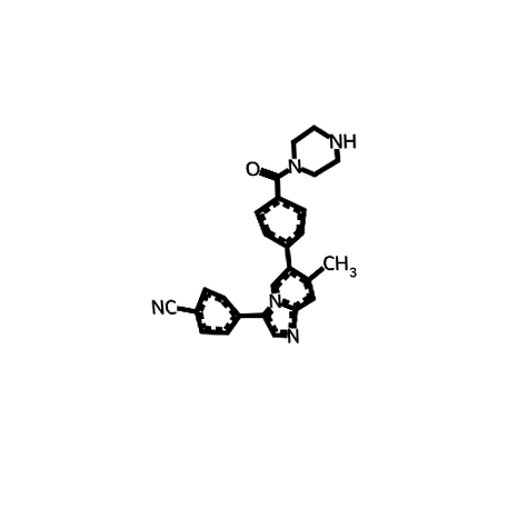 Cc1cc2ncc(-c3ccc(C#N)cc3)n2cc1-c1ccc(C(=O)N2CCNCC2)cc1